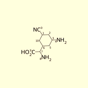 N#CC1CC(N)CC(C(N)C(=O)O)C1